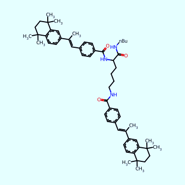 CCCCNC(=O)C(CCCCNC(=O)c1ccc(/C=C(\C)c2ccc3c(c2)C(C)(C)CCC3(C)C)cc1)NC(=O)c1ccc(/C=C(\C)c2ccc3c(c2)C(C)(C)CCC3(C)C)cc1